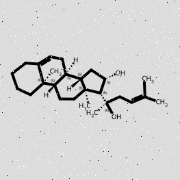 CC(C)=CC[C@@](C)(O)[C@H]1[C@@H](O)C[C@H]2[C@@H]3CC=C4CCCC[C@]4(C)[C@H]3CC[C@@]21C